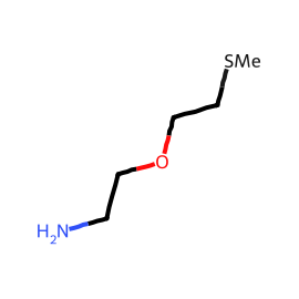 CSCCOCCN